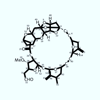 C=C1CC2CC[C@@]34C[C@H]5O[C@H]6C(O3)[C@H]3OC(CCC3O[C@H]6C5O4)CC(=O)CC3[C@@H](OC)C(CC=O)O[C@H]3C[C@H]3OC(CC[C@@H]1O2)CC(C)C3=C